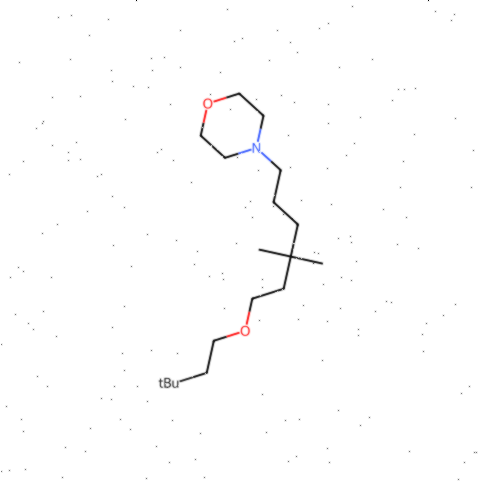 CC(C)(C)CCOCCC(C)(C)CCCN1CCOCC1